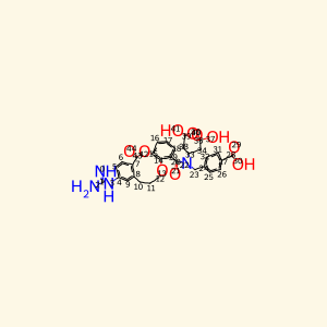 N=C(N)Nc1ccc2c(c1)CCCOc1c(cccc1C(=O)N(Cc1ccc(C(=O)O)cc1)C(CC(=O)O)CC(=O)O)OC2=O